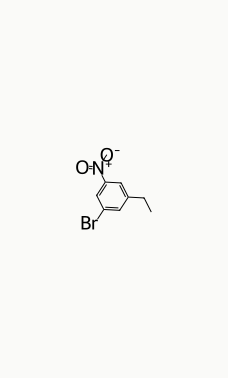 CCc1cc(Br)cc([N+](=O)[O-])c1